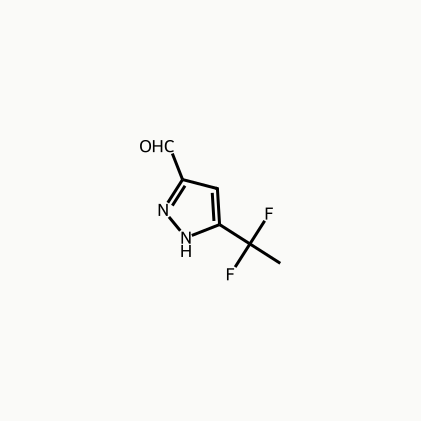 CC(F)(F)c1cc(C=O)n[nH]1